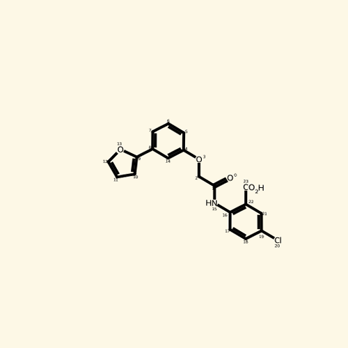 O=C(COc1cccc(-c2ccco2)c1)Nc1ccc(Cl)cc1C(=O)O